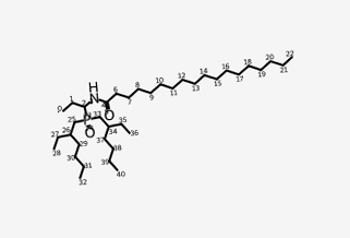 [CH2]CC(NC(=O)CCCCCCCCCCCCCCCCC)P(=O)(CC(CC)CCCC)CC(CC)CCCC